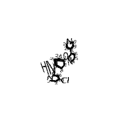 Clc1ccnc(Nc2ccc(Oc3ncccc3-c3ccncc3)cc2)c1